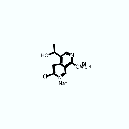 COc1ncc(C(C)O)c2cc(Cl)ncc12.[BH4-].[Na+]